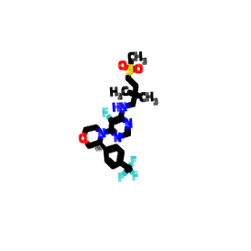 CC(C)(CCS(C)(=O)=O)CNc1ncnc(N2CCOC[C@@H]2c2ccc(C(F)(F)F)cc2)c1F